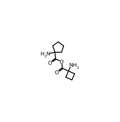 NC1(C(=O)OC(=O)C2(N)CCC2)CCCC1